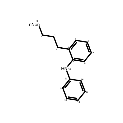 CCCCCCCCCCCCc1ccccc1Nc1ccccc1